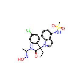 CCC(C(=O)NC(C)=NO)(c1ccc(Cl)cc1)n1ccc2c(NS(C)(=O)=O)cccc21